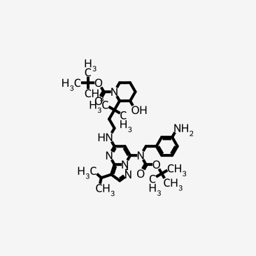 CC(C)c1cnn2c(N(Cc3cccc(N)c3)C(=O)OC(C)(C)C)cc(NCCC(C)(C)C3C(O)CCCN3C(=O)OC(C)(C)C)nc12